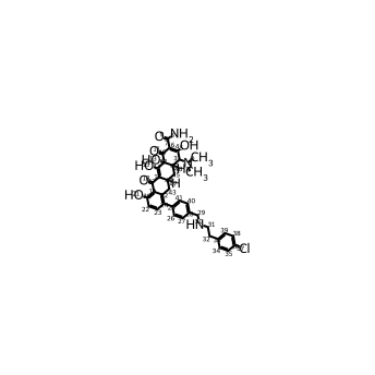 CN(C)C1C(O)=C(C(N)=O)C(=O)[C@@]2(O)C(O)=C3C(=O)c4c(O)ccc(-c5ccc(CNCCc6ccc(Cl)cc6)cc5)c4C[C@H]3C[C@@H]12